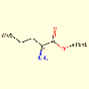 CCCCCOC(=O)[C@@H](N)CCSC